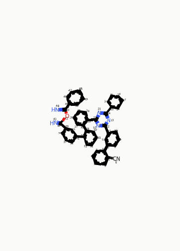 N#Cc1ccccc1-c1cccc(-c2nc(-c3ccccc3)nc(-c3ccccc3-c3ccccc3-c3cccc(C(=N)OC(=N)c4ccccc4)c3)n2)c1